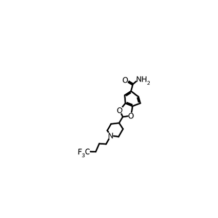 NC(=O)c1ccc2c(c1)OC(C1CCN(CCCC(F)(F)F)CC1)O2